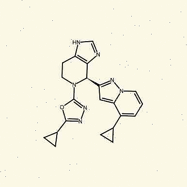 c1cc(C2CC2)c2cc([C@@H]3c4nc[nH]c4CCN3c3nnc(C4CC4)o3)nn2c1